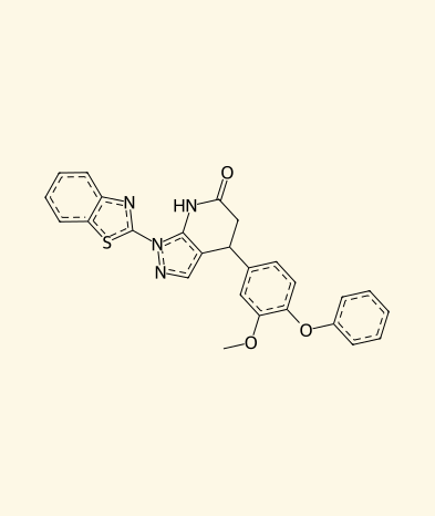 COc1cc(C2CC(=O)Nc3c2cnn3-c2nc3ccccc3s2)ccc1Oc1ccccc1